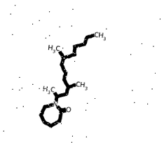 CCCCCC(C)CCCC(C)CC(C)N1CCCCCC1=O